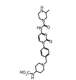 CC1CN(C(=O)Nc2ccn(-c3ccc(CN4CCC(NC(=O)O)CC4)cc3)c(=O)n2)CCN1